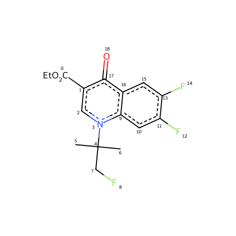 CCOC(=O)c1cn(C(C)(C)CF)c2cc(F)c(F)cc2c1=O